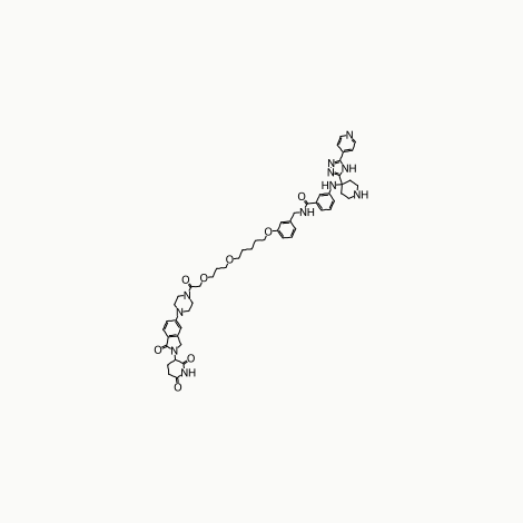 O=C1CCC(N2Cc3cc(N4CCN(C(=O)COCCCOCCCCCOc5cccc(CNC(=O)c6cccc(NC7(c8nnc(-c9ccncc9)[nH]8)CCNCC7)c6)c5)CC4)ccc3C2=O)C(=O)N1